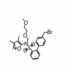 COCCOCN(c1onc(C)c1C)S(=O)(=O)c1ccccc1-c1ccc(CBr)cc1